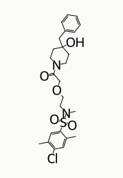 Cc1cc(S(=O)(=O)N(C)CCOCC(=O)N2CCC(O)(Cc3ccccc3)CC2)c(C)cc1Cl